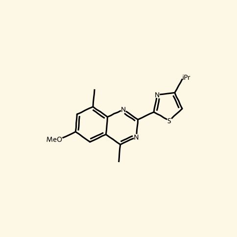 COc1cc(C)c2nc(-c3nc(C(C)C)cs3)nc(C)c2c1